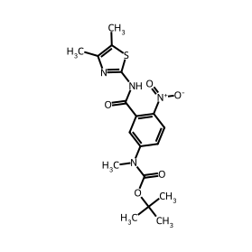 Cc1nc(NC(=O)c2cc(N(C)C(=O)OC(C)(C)C)ccc2[N+](=O)[O-])sc1C